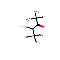 CCC(C)(C)C(=O)C(C(=O)O)C(C)(CC)CC